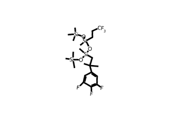 CC(C)(C[Si](C)(O[Si](C)(C)C)O[Si](C)(CCC(F)(F)F)O[Si](C)(C)C)c1cc(F)c(F)c(F)c1